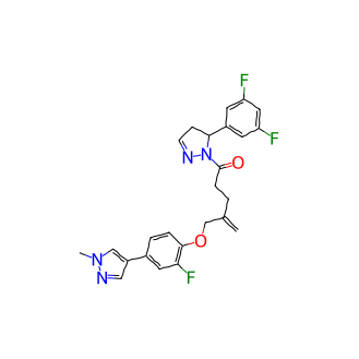 C=C(CCC(=O)N1N=CCC1c1cc(F)cc(F)c1)COc1ccc(-c2cnn(C)c2)cc1F